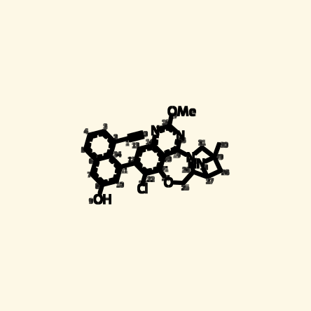 C#Cc1cccc2cc(O)cc(-c3cc4nc(OC)nc5c4c(c3Cl)OCC3C4CC(C)(CN53)N4)c12